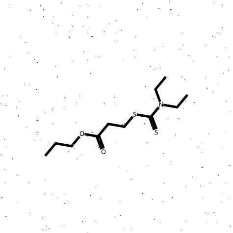 CCCOC(=O)CCSC(=S)N(CC)CC